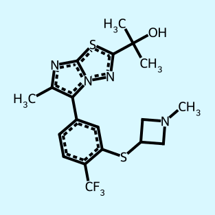 Cc1nc2sc(C(C)(C)O)nn2c1-c1ccc(C(F)(F)F)c(SC2CN(C)C2)c1